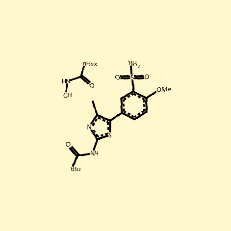 CCCCCCC(=O)NO.COc1ccc(-c2sc(NC(=O)C(C)(C)C)nc2C)cc1S(N)(=O)=O